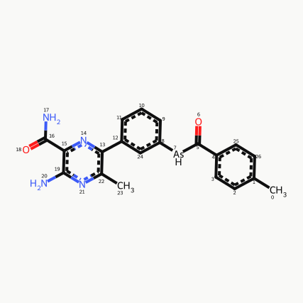 Cc1ccc(C(=O)[AsH]c2cccc(-c3nc(C(N)=O)c(N)nc3C)c2)cc1